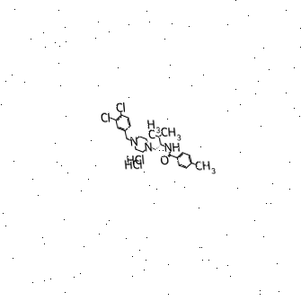 Cc1ccc(C(=O)N[C@H](CN2CCN(Cc3ccc(Cl)c(Cl)c3)CC2)C(C)C)cc1.Cl.Cl